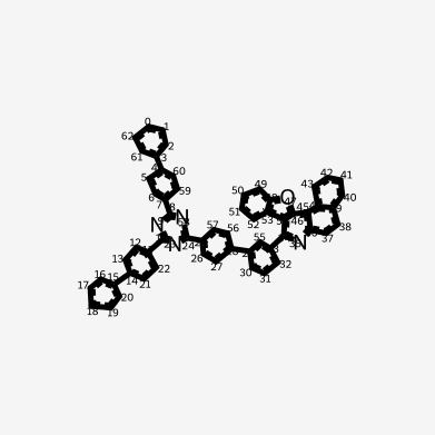 c1ccc(-c2ccc(-c3nc(-c4ccc(-c5ccccc5)cc4)nc(-c4ccc(-c5cccc(-c6nc7ccc8ccccc8c7c7oc8ccccc8c67)c5)cc4)n3)cc2)cc1